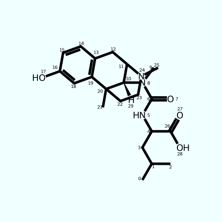 CC(C)CC(NC(=O)N(C)[C@H]1C2Cc3ccc(O)cc3C1(C)CCN2C)C(=O)O